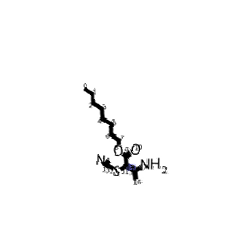 CCCCCCCCOC(=O)/C(SC#N)=C(/C)N